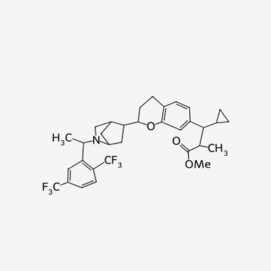 COC(=O)C(C)C(c1ccc2c(c1)OC(C1CC3CC1CN3C(C)c1cc(C(F)(F)F)ccc1C(F)(F)F)CC2)C1CC1